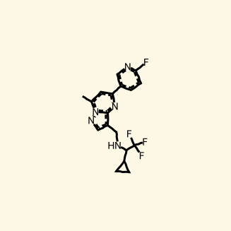 Cc1cc(-c2ccc(F)nc2)nc2c(CNC(C3CC3)C(F)(F)F)cnn12